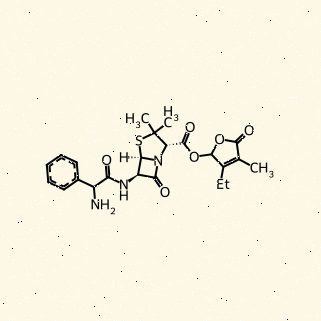 CCC1=C(C)C(=O)OC1OC(=O)[C@@H]1N2C(=O)[C@@H](NC(=O)C(N)c3ccccc3)[C@H]2SC1(C)C